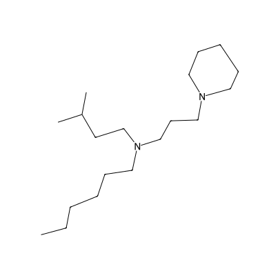 CCCCCCN(CCCN1CCCCC1)CCC(C)C